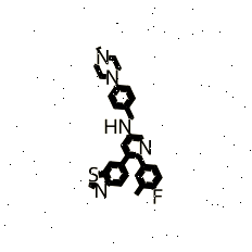 Cc1cc(-c2ncc(NCc3ccc(N4CCN(C)CC4)cc3)cc2-c2ccc3ncsc3c2)ccc1F